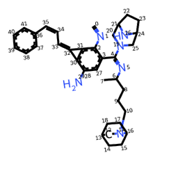 C=Nc1c(/C(=N\C(C)CCCN2CC3CCC2CC3)N2CC3CCC(C2)N3)cc(N)c2c1/C2=C\C=C/c1ccccc1